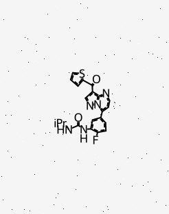 CC(C)NC(=O)Nc1cc(-c2ccnc3c(C(=O)c4cccs4)cnn23)ccc1F